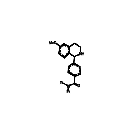 CCN(CC)C(=O)c1ccc(C2NCCc3cc(OC)ccc32)cc1